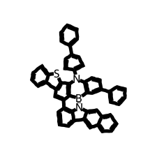 c1ccc(-c2ccc(N3c4ccc(-c5ccccc5)cc4B4c5c(cc6c(sc7ccccc76)c53)-c3cccc5c6cc7ccccc7cc6n4c35)cc2)cc1